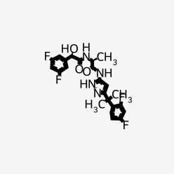 C[C@H](NC(=O)[C@@H](O)c1cc(F)cc(F)c1)C(=O)Nc1cc(C(C)(C)c2ccc(F)cc2F)n[nH]1